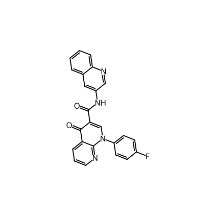 O=C(Nc1cnc2ccccc2c1)c1cn(-c2ccc(F)cc2)c2ncccc2c1=O